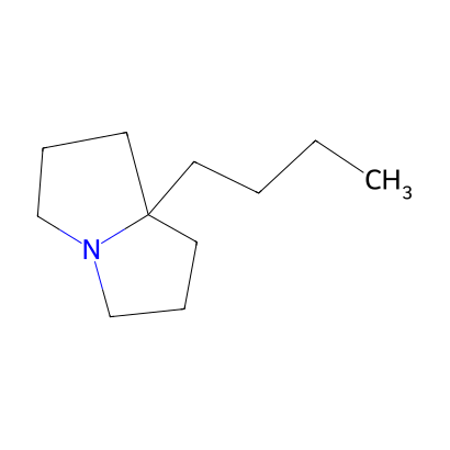 CCCCC12CCCN1CCC2